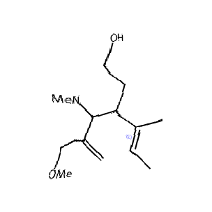 C=C(COC)C(NC)C(CCO)/C(C)=C/C